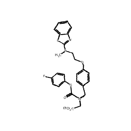 CCOC(=O)CN(Cc1ccc(OCCN(C)c2nc3ccccc3s2)cc1)C(=O)Oc1ccc(F)cc1